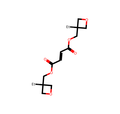 CCC1(COC(=O)/C=C/C(=O)OCC2(CC)COC2)COC1